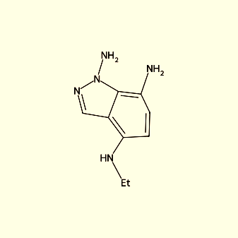 CCNc1ccc(N)c2c1cnn2N